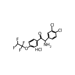 Cl.NC(C(=O)c1ccc(OC(F)(F)C(F)F)cc1)c1ccc(Cl)c(Cl)c1